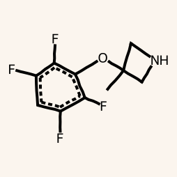 CC1(Oc2c(F)c(F)cc(F)c2F)CNC1